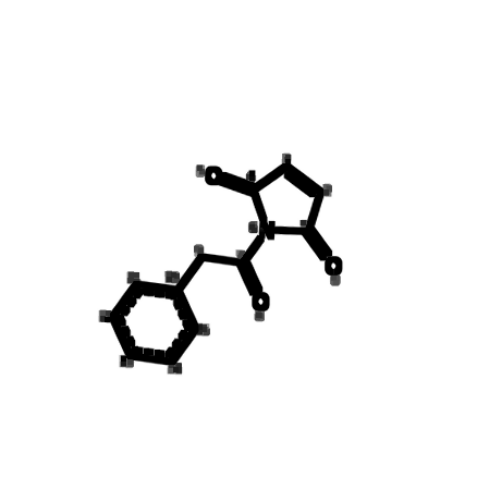 O=C1C=CC(=O)N1C(=O)Cc1ccccc1